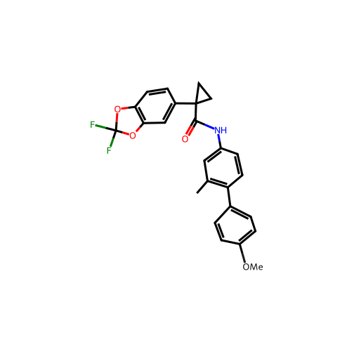 COc1ccc(-c2ccc(NC(=O)C3(c4ccc5c(c4)OC(F)(F)O5)CC3)cc2C)cc1